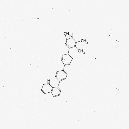 CC1=C(C)C(C2C=CC(c3ccc(-c4cccc5c4NCC=C5)cc3)=CC2)=NC(C)N1